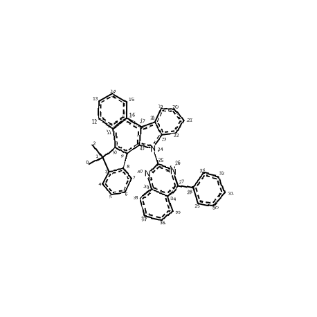 CC1(C)c2ccccc2-c2c1c1ccccc1c1c3ccccc3n(-c3nc(-c4ccccc4)c4ccccc4n3)c21